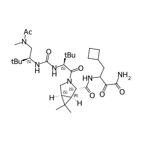 CC(=O)N(C)C[C@@H](NC(=O)N[C@H](C(=O)N1C[C@H]2[C@@H]([C@H]1C(=O)NC(CC1CCC1)C(=O)C(N)=O)C2(C)C)C(C)(C)C)C(C)(C)C